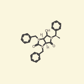 C[C@H](c1ccccc1)N1C(=O)[C@@H]2[C@H](C1O)N(Cc1ccccc1)C(=O)N2Cc1ccccc1